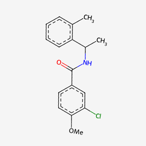 COc1ccc(C(=O)NC(C)c2ccccc2C)cc1Cl